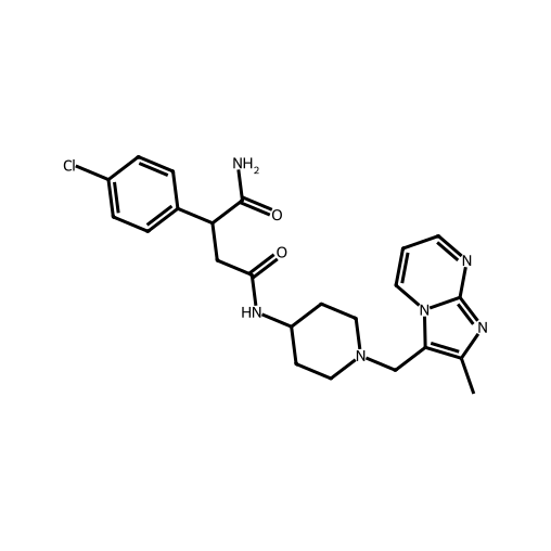 Cc1nc2ncccn2c1CN1CCC(NC(=O)CC(C(N)=O)c2ccc(Cl)cc2)CC1